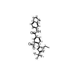 CCn1nc(C(F)(F)F)cc1-c1ccc(C(=O)Nc2ccc3scnc3c2)cc1[N+](=O)[O-]